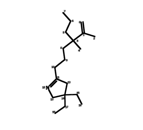 C=C(C)C(C)(CCC)CCCC1=NCC(CC)(CC)C1